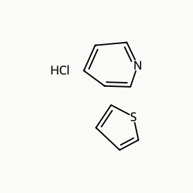 Cl.c1ccncc1.c1ccsc1